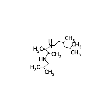 C=C(NCCC(C)CC(C)C)C(=C)NCC(C)C